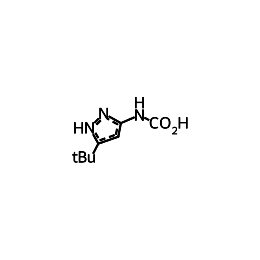 CC(C)(C)c1cc(NC(=O)O)n[nH]1